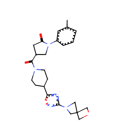 N#Cc1cccc(N2CC(C(=O)N3CCC(c4nc(N5CC6(COC6)C5)no4)CC3)CC2=O)c1